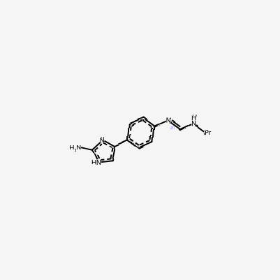 CC(C)N/C=N/c1ccc(-c2c[nH]c(N)n2)cc1